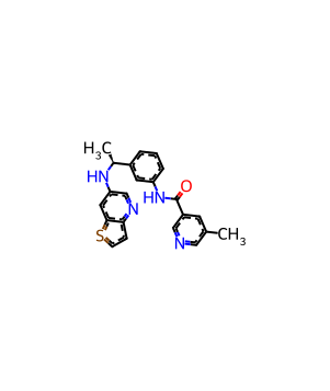 Cc1cncc(C(=O)Nc2cccc([C@H](C)Nc3cnc4ccsc4c3)c2)c1